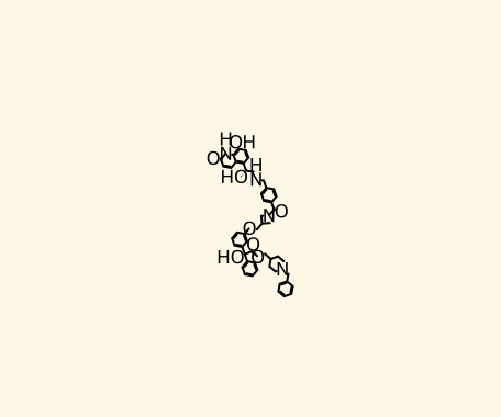 O=C(c1ccc(CNC[C@H](O)c2ccc(O)c3[nH]c(=O)ccc23)cc1)N1CC(COc2cccc([C@](O)(C(=O)OCC3CCN(Cc4ccccc4)CC3)c3ccccc3)c2)C1